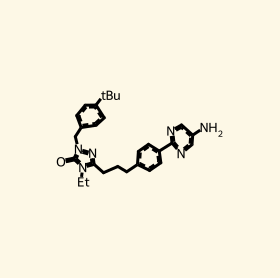 CCn1c(CCCc2ccc(-c3ncc(N)cn3)cc2)nn(Cc2ccc(C(C)(C)C)cc2)c1=O